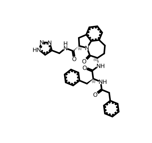 O=C(Cc1ccccc1)N[C@@H](Cc1ccccc1)C(=O)N[C@H]1CCc2cccc3c2N(C1=O)[C@H](C(=O)NCc1c[nH]nn1)C3